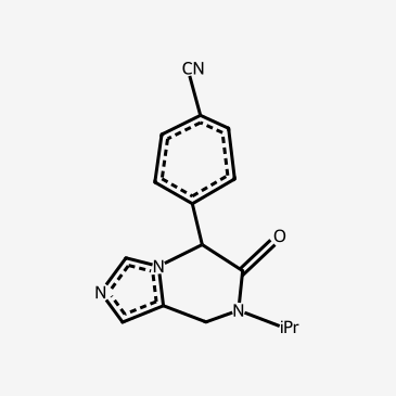 CC(C)N1Cc2cncn2C(c2ccc(C#N)cc2)C1=O